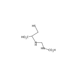 O=C(O)NCNC(CS)C(=O)O